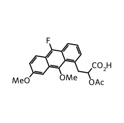 COc1ccc2c(F)c3cccc(CC(OC(C)=O)C(=O)O)c3c(OC)c2c1